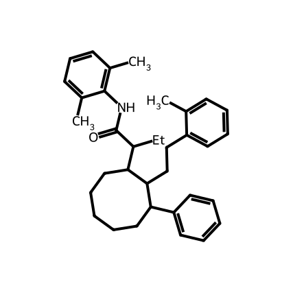 CCC(C(=O)Nc1c(C)cccc1C)C1CCCCCC(c2ccccc2)C1CCc1ccccc1C